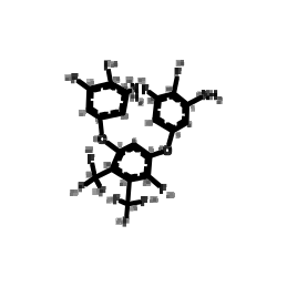 Nc1cc(Oc2cc(Oc3cc(N)c(F)c(F)c3)c(C(F)(F)F)c(C(F)(F)F)c2F)cc(F)c1F